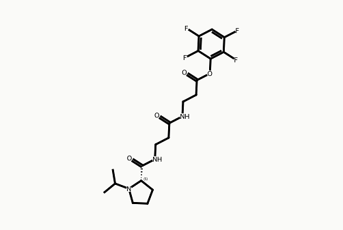 CC(C)N1CCC[C@H]1C(=O)NCCC(=O)NCCC(=O)Oc1c(F)c(F)cc(F)c1F